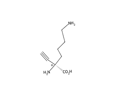 C#C[C@](N)(CCCCN)C(=O)O